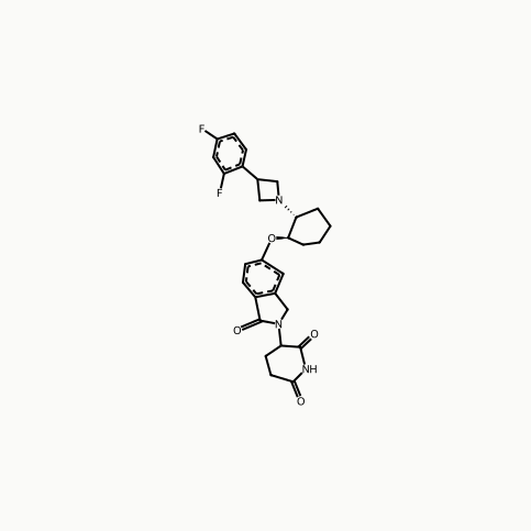 O=C1CCC(N2Cc3cc(O[C@@H]4CCCC[C@H]4N4CC(c5ccc(F)cc5F)C4)ccc3C2=O)C(=O)N1